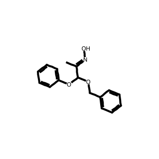 CC(=NO)C(OCc1ccccc1)Oc1ccccc1